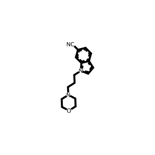 N#Cc1ccc2ccn(CCCN3CCOCC3)c2c1